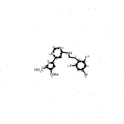 COc1cc(-c2cc(NCCc3c(F)cc(Br)cc3F)ncn2)sc1C(=O)O